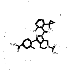 COC(=O)c1ccc(-c2nn(C(=O)c3c(Cl)cccc3C3(C(F)(F)F)CC3)c3c2CCN(C(=O)OC)C3)c(F)c1